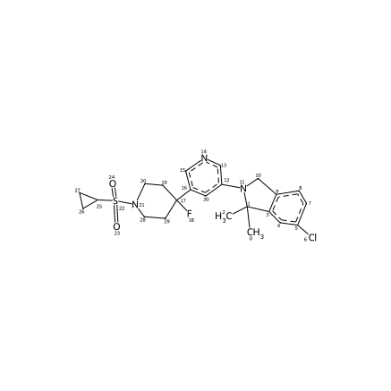 CC1(C)c2cc(Cl)ccc2CN1c1cncc(C2(F)CCN(S(=O)(=O)C3CC3)CC2)c1